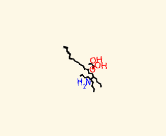 CC(O)C(=O)O.CCCCCCCCCCCCCCC(CCCC)C(N)(CCCC)CCCC